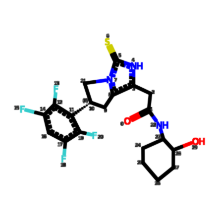 O=C(Cc1[nH]c(=S)n2c1C[C@H](c1c(F)c(F)cc(F)c1F)C2)NC1CCCCC1O